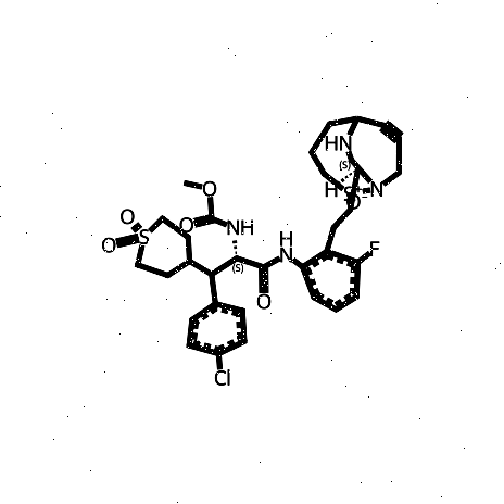 COC(=O)N[C@H](C(=O)Nc1cccc(F)c1CC[C@H]1CNC2C#CCN1[S+]([O-])CCC2)C(c1ccc(Cl)cc1)C1CCS(=O)(=O)CC1